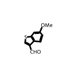 COc1ccc2c(C=O)csc2c1